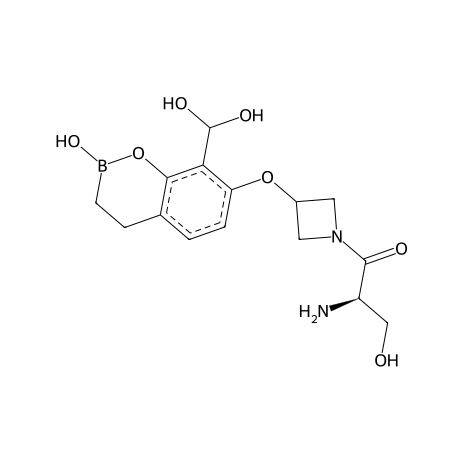 N[C@H](CO)C(=O)N1CC(Oc2ccc3c(c2C(O)O)OB(O)CC3)C1